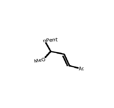 CCCCCC(/C=C/C(C)=O)OC